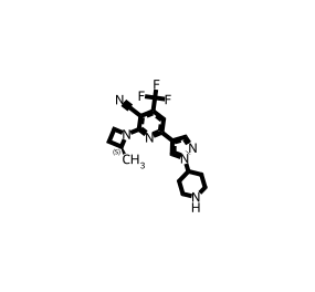 C[C@H]1CCN1c1nc(-c2cnn(C3CCNCC3)c2)cc(C(F)(F)F)c1C#N